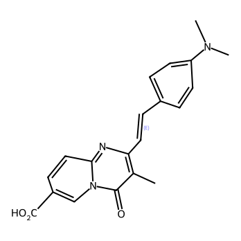 Cc1c(/C=C/c2ccc(N(C)C)cc2)nc2ccc(C(=O)O)cn2c1=O